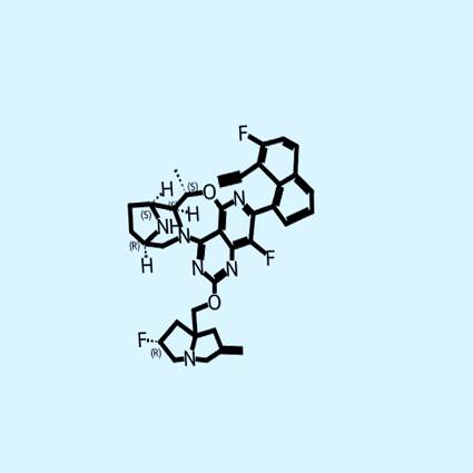 C#Cc1c(F)ccc2cccc(-c3nc4c5c(nc(OCC67CC(=C)CN6C[C@H](F)C7)nc5c3F)N3C[C@H]5CC[C@H](N5)[C@H]3[C@H](C)O4)c12